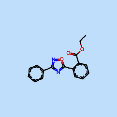 CCOC(=O)c1ccccc1-c1nc(-c2ccccc2)no1